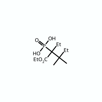 CCOC(=O)C(CC)(C(C)(C)CC)P(=O)(O)O